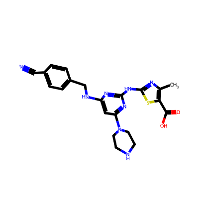 Cc1nc(Nc2nc(NCc3ccc(C#N)cc3)cc(N3CCNCC3)n2)sc1C(=O)O